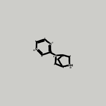 c1cnc(N2CC3CC2CN3)cn1